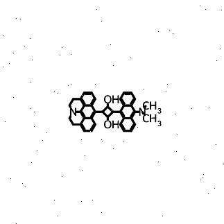 CN(C)c1c2ccccc2c(C2C(O)C(c3c4cccc5c4c4c6c(cccc36)CCN4CC5)C2O)c2ccccc12